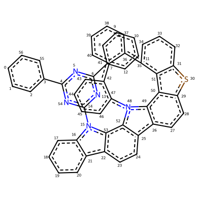 c1ccc(-c2nc(-c3ccccc3)nc(-n3c4ccccc4c4ccc5c6ccc7sc8cccc9c%10ccccc%10c%10ccccc%10n(c6c7c89)c5c43)n2)cc1